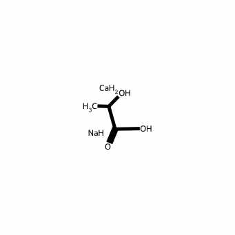 CC(O)C(=O)O.[CaH2].[NaH]